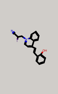 N#CC(I)C[n+]1ccc(C=Cc2ccccc2O)c2ccccc21